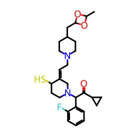 CC1OC(CC2CCN(C/C=C3\CN(C(C(=O)C4CC4)c4ccccc4F)CCC3S)CC2)O1